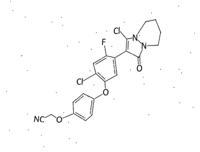 N#CCOc1ccc(Oc2cc(-c3c(Cl)n4n(c3=O)CCCC4)c(F)cc2Cl)cc1